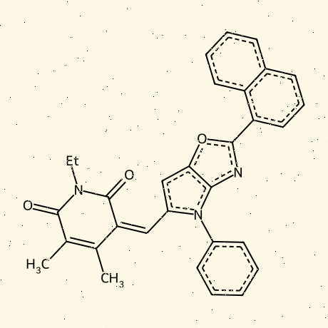 CCN1C(=O)C(C)=C(C)/C(=C/c2cc3oc(-c4cccc5ccccc45)nc3n2-c2ccccc2)C1=O